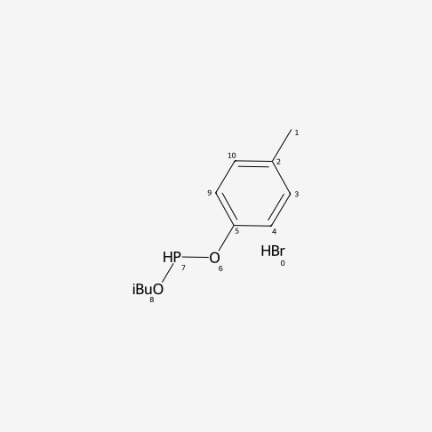 Br.Cc1ccc(OPOCC(C)C)cc1